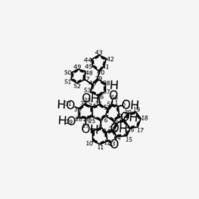 Oc1c(O)c(O)c2c(-c3cccc4oc5cc6ccccc6cc5c34)c3c(O)c(O)c(O)c(O)c3c(-c3ccc(-c4ccccc4)c(-c4ccccc4)c3)c2c1O